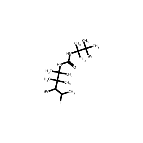 CC(C)C(C(C)I)C(C)(C)C(C)(C)NC(=O)NC(C)(C)C(C)(C)C(C)C